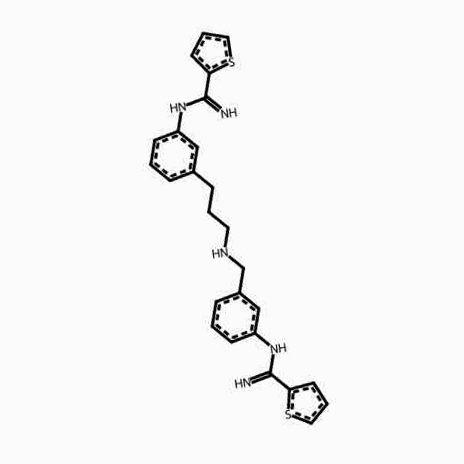 N=C(Nc1cccc(CCCNCc2cccc(NC(=N)c3cccs3)c2)c1)c1cccs1